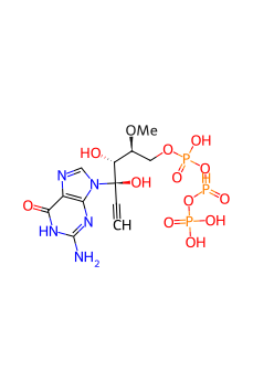 C#C[C@@](O)([C@H](O)[C@H](COP(=O)(O)O[PH](=O)OP(=O)(O)O)OC)n1cnc2c(=O)[nH]c(N)nc21